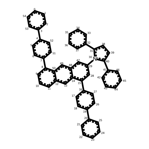 c1ccc(-c2ccc(-c3cccc4cc5c(-c6ccc(-c7ccccc7)cc6)cc(-n6c(-c7ccccc7)ccc6-c6ccccc6)cc5cc34)cc2)cc1